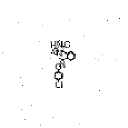 CNC(=O)C(=NOC)c1ccccc1C(C)=NOc1ccc(Cl)cc1